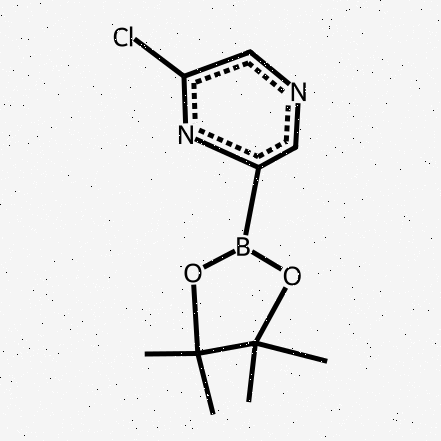 CC1(C)OB(c2cncc(Cl)n2)OC1(C)C